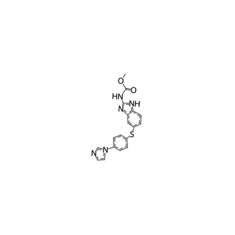 COC(=O)Nc1nc2cc(Sc3ccc(-n4ccnc4)cc3)ccc2[nH]1